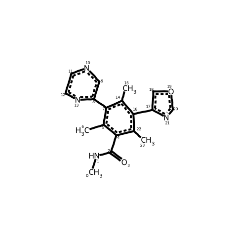 CNC(=O)c1c(C)c(-c2cnccn2)c(C)c(-c2cocn2)c1C